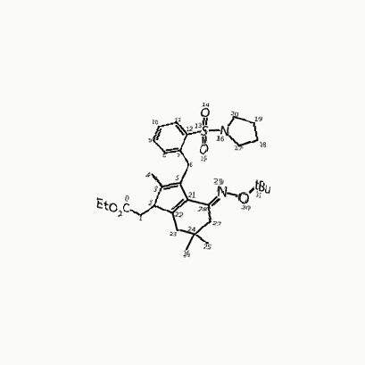 CCOC(=O)CC1C(C)=C(Cc2ccccc2S(=O)(=O)N2CCCC2)C2=C1CC(C)(C)C/C2=N\OC(C)(C)C